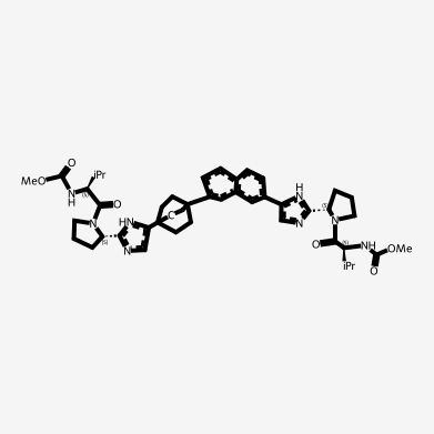 COC(=O)N[C@H](C(=O)N1CCC[C@H]1c1ncc(-c2ccc3ccc(C45CCC(c6cnc([C@@H]7CCCN7C(=O)[C@@H](NC(=O)OC)C(C)C)[nH]6)(CC4)CC5)cc3c2)[nH]1)C(C)C